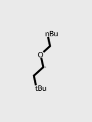 CCCCCO[CH]CC(C)(C)C